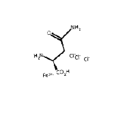 NC(=O)C[C@H](N)C(=O)O.[Cl-].[Cl-].[Cl-].[Fe+3]